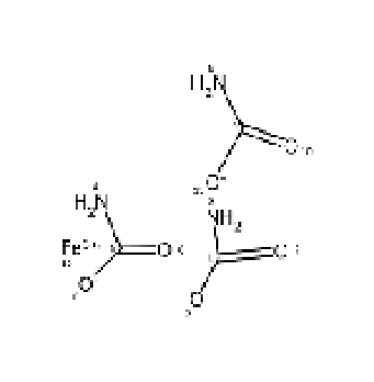 NC(=O)[O-].NC(=O)[O-].NC(=O)[O-].[Fe+3]